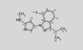 CBc1ncc(-n2nc(C(C)C)c3cccc(F)c32)s1